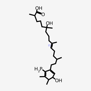 CC1=C(P)C(CCC(C)CC/C=C(\C)CCCC(C)(O)CCCC(C)C(=O)O)=CC(O)C1C